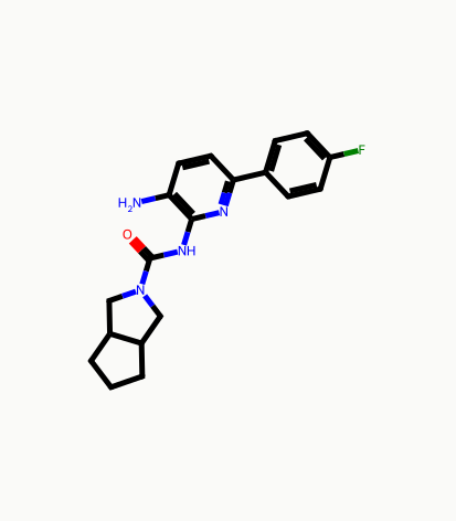 Nc1ccc(-c2ccc(F)cc2)nc1NC(=O)N1CC2CCCC2C1